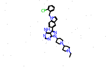 CCN1CCC(N2CCC(n3nc(-c4ccc5c(ccn5Cc5ccccc5Cl)c4)c4c(N)ncnc43)CC2)CC1